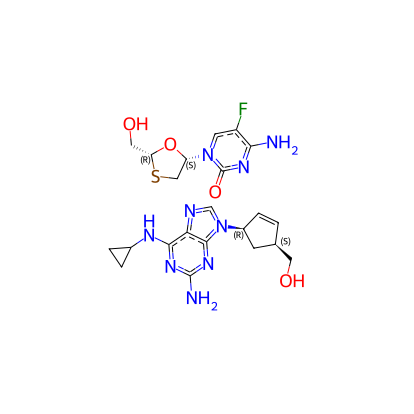 Nc1nc(=O)n([C@@H]2CS[C@H](CO)O2)cc1F.Nc1nc(NC2CC2)c2ncn([C@H]3C=C[C@@H](CO)C3)c2n1